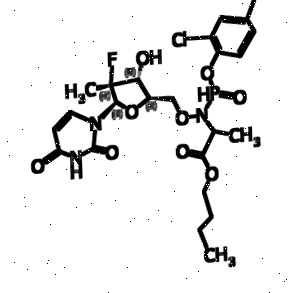 CCCCOC(=O)C(C)N(OC[C@H]1O[C@@H](n2ccc(=O)[nH]c2=O)[C@](C)(F)[C@@H]1O)[PH](=O)Oc1ccc(Cl)cc1Cl